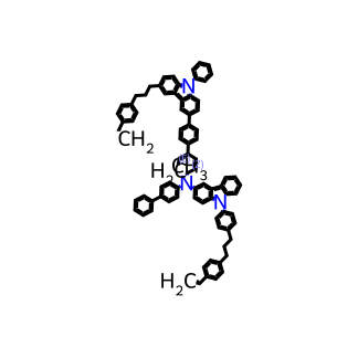 C=Cc1ccc(CCCc2ccc(-n3c4ccccc4c4cc(N(C(=C)/C=C\C(=C/C)c5ccc(-c6ccc7c(c6)c6cc(CCCc8ccc(C=C)cc8)ccc6n7-c6ccccc6)cc5)c5ccc(-c6ccccc6)cc5)ccc43)cc2)cc1